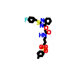 Cc1ccc(S(=O)(=O)OCCCCNC(=O)COc2nc(SCc3ccc(F)cc3)nc3c2CCCC3)cc1